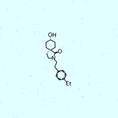 CCc1ccc(CCN2CC[C@]3(CC[C@@H](O)CC3)C2=O)cc1